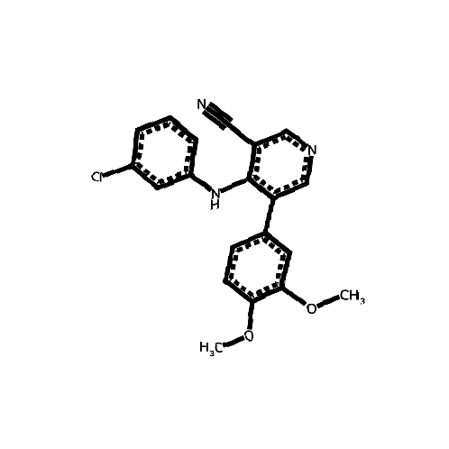 COc1ccc(-c2cncc(C#N)c2Nc2cccc(Cl)c2)cc1OC